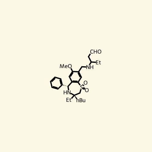 CCCC[C@]1(CC)CS(=O)(=O)c2cc(CNC(CC)CC=O)c(OC)cc2[C@@H](c2ccccc2)N1